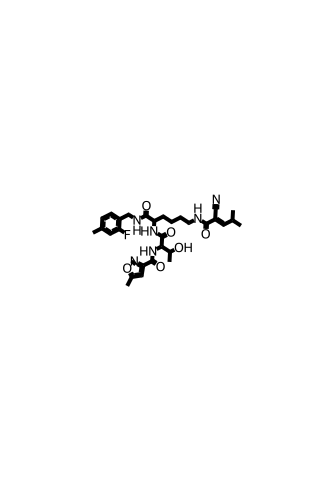 Cc1ccc(CNC(=O)C(CCCCNC(=O)C(C#N)=CC(C)C)NC(=O)C(NC(=O)c2cc(C)on2)C(C)O)c(F)c1